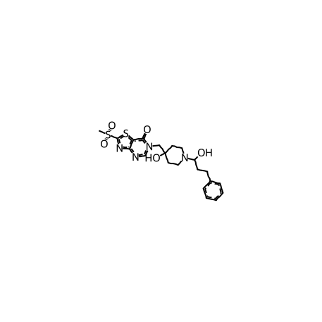 CS(=O)(=O)c1nc2ncn(CC3(O)CCN(C(O)CCc4ccccc4)CC3)c(=O)c2s1